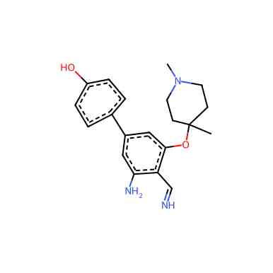 CN1CCC(C)(Oc2cc(-c3ccc(O)cc3)cc(N)c2C=N)CC1